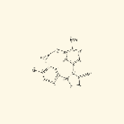 CNc1ccc(N2C(=O)CCN2c2ccc(Cl)cc2)nc1NC1CC1